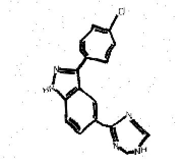 Clc1ccc(-c2n[nH]c3ccc(-c4nc[nH]n4)cc23)cc1